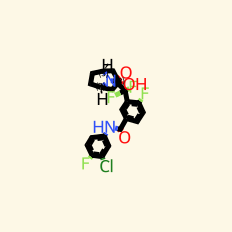 O=C(Nc1ccc(F)c(Cl)c1)c1ccc(F)c(C(F)(F)C(=O)N2[C@@H]3CC[C@H]2C[C@@H](O)C3)c1